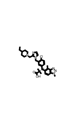 CCC1CCN(Cc2nccn2Cc2cc([C@H](c3ccc4c(nnn4C)c3C)C(C)(C)C(=O)O)ccc2Cl)CC1